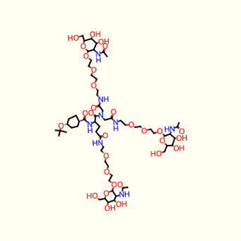 CC(=O)NC1C(OCCOCCOCCNC(=O)CCC(NC(=O)[C@H]2CC[C@H](OC(C)(C)C)CC2)C(=O)N(CC(=O)NCCOCCOCCOC2OC(CO)C(O)C(O)C2NC(C)=O)CC(=O)NCCOCCOCCOC2OC(CO)C(O)C(O)C2NC(C)=O)OC(CO)C(O)C1O